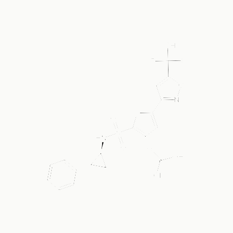 CC(F)(F)c1cc(-c2ccc(S(=O)(=O)N[C@H]3C[C@@H]3c3ccccc3)s2)no1.O=C(O)O